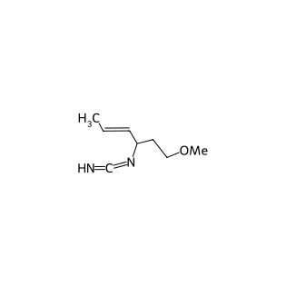 CC=CC(CCOC)N=C=N